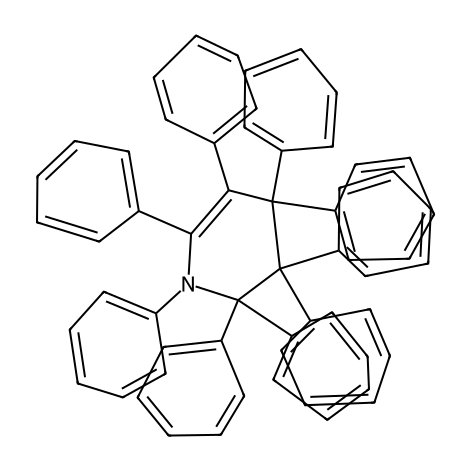 c1ccc(C2=C(c3ccccc3)C(c3ccccc3)(c3ccccc3)C(c3ccccc3)(c3ccccc3)C(c3ccccc3)(c3ccccc3)N2c2ccccc2)cc1